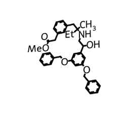 CCC(C)(Cc1cccc(CC(=O)OC)c1)NCC(O)c1cc(OCc2ccccc2)cc(OCc2ccccc2)c1